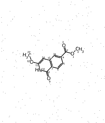 COC(=O)c1ccc2c(=O)[nH]c(OC)cc2c1